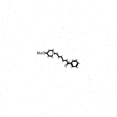 COC1CCN(CCCCCC(=O)c2ccccc2)CC1